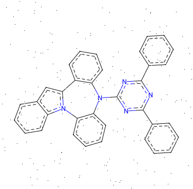 c1ccc(-c2nc(-c3ccccc3)nc(N3c4ccccc4-c4cc5ccccc5n4-c4ccccc43)n2)cc1